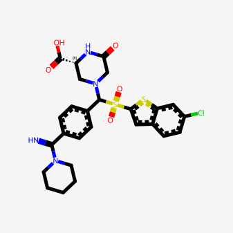 N=C(c1ccc(C(N2CC(=O)N[C@@H](C(=O)O)C2)S(=O)(=O)c2cc3ccc(Cl)cc3s2)cc1)N1CCCCC1